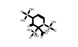 O=C(Cl)C1([N+]([O-])(O)O)C(=O)C([N+]([O-])(O)O)C=CN1[N+]([O-])(O)O